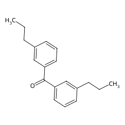 CCCc1cccc(C(=O)c2cccc(CCC)c2)c1